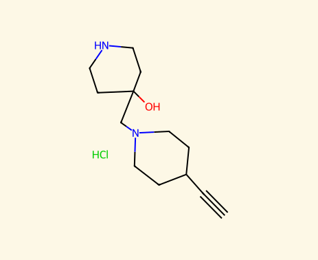 C#CC1CCN(CC2(O)CCNCC2)CC1.Cl